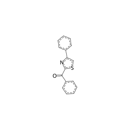 O=C(c1ccccc1)c1nc(-c2ccccc2)cs1